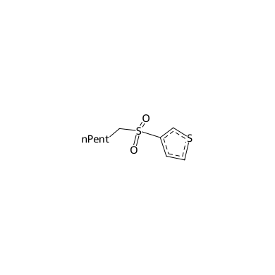 CCCCCCS(=O)(=O)c1ccsc1